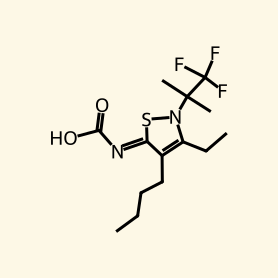 CCCCc1c(CC)n(C(C)(C)C(F)(F)F)sc1=NC(=O)O